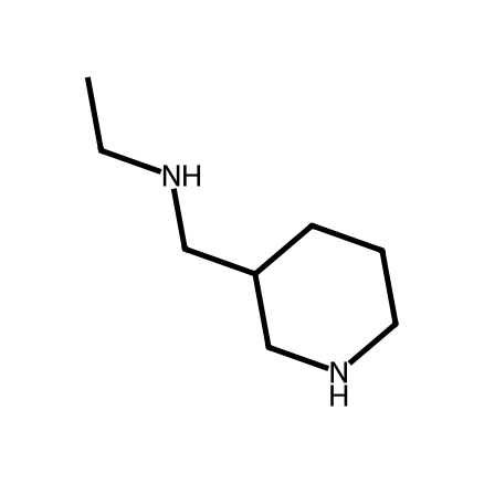 CCNCC1CCCNC1